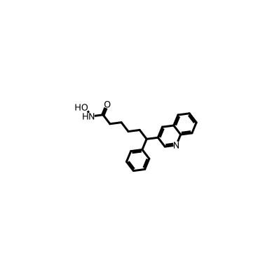 O=C(CCCCC(c1ccccc1)c1cnc2ccccc2c1)NO